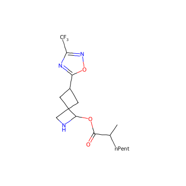 CCCCCC(C)C(=O)OC1NCC12CC(c1nc(C(F)(F)F)no1)C2